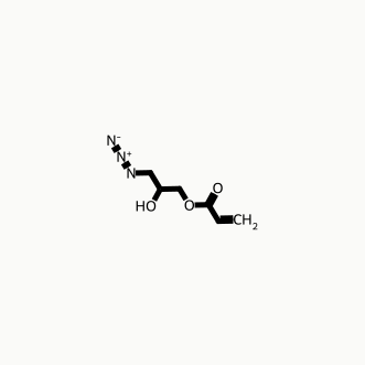 C=CC(=O)OCC(O)CN=[N+]=[N-]